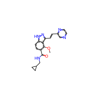 COc1c(C(=O)NCC2CC2)ccc2[nH]nc(C=Cc3cnccn3)c12